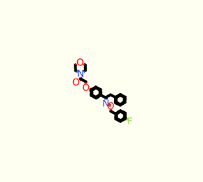 O=C(COc1ccc(/C(Cc2ccccc2)=N/OCc2ccc(F)cc2)cc1)N1CCOCC1